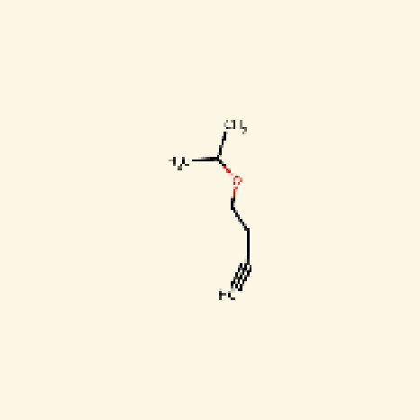 C#CCCOC(C)C